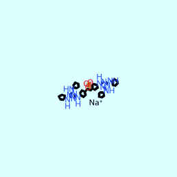 O=S(=O)([O-])c1cc(Nc2nc(Nc3ccccc3)nc(Nc3ccccc3)n2)ccc1C=Cc1ccc(Nc2nc(Nc3ccccc3)nc(Nc3ccccc3)n2)cc1.[Na+]